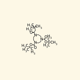 CC(C)(C)OC(=O)N1CCN(C(=O)C[N+](C)(C)C)CCN(C(=O)OC(C)(C)C)CC1